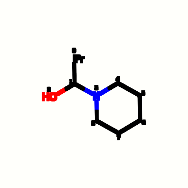 CC(C)C(O)N1CCCCC1